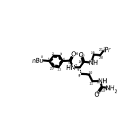 CCCCc1ccc(C(=O)N[C@@H](CCCNC(N)=O)C(=O)NCCC(C)C)cc1